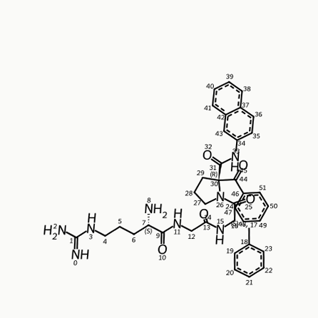 N=C(N)NCCC[C@H](N)C(=O)NCC(=O)N[C@@H](Cc1ccccc1)C(=O)N1CCC[C@]1(C(=O)Nc1ccc2ccccc2c1)C(=O)c1ccccc1